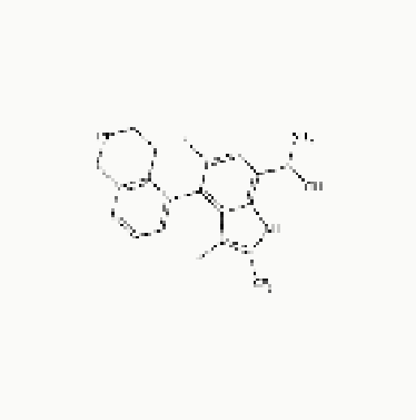 Cc1c(C(F)(F)F)[nH]c2c(C(N)O)cc(F)c(-c3cccc4c3CCNC4)c12